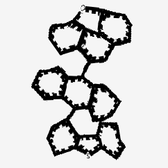 c1cc2cc(-c3c4ccccc4c(-c4cccc5sc6ccccc6c45)c4ccccc34)c3cccc4oc(c1)c2c43